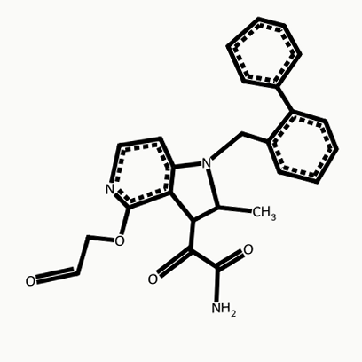 CC1C(C(=O)C(N)=O)c2c(ccnc2OCC=O)N1Cc1ccccc1-c1ccccc1